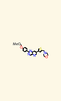 COCOc1ccc(-c2ncc3ncc(-c4csc(CN5CCOCC5)c4)cc3n2)cc1